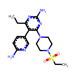 CCc1nc(N)nc(N2CCN(S(=O)(=O)CC)CC2)c1-c1ccc(N)nc1